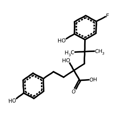 CC(C)(CC(O)(CCc1ccc(O)cc1)C(=O)O)c1cc(F)ccc1O